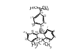 CC1(C)c2ccccc2N(c2ccc(B(O)O)cc2)c2ccccc21